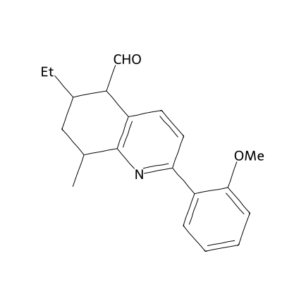 CCC1CC(C)c2nc(-c3ccccc3OC)ccc2C1C=O